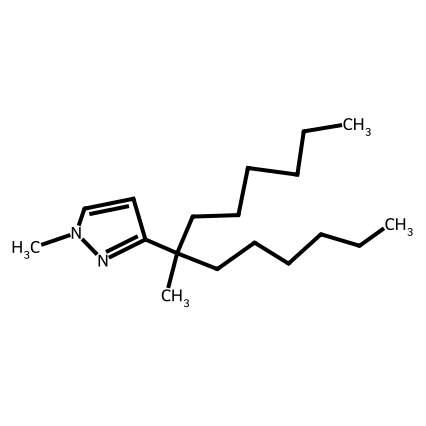 CCCCCCC(C)(CCCCCC)c1ccn(C)n1